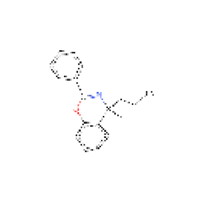 CC1(CCC#N)N=C(c2ccccc2)Oc2ccccc21